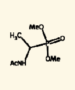 COP(=O)(OC)C(C)NC(C)=O